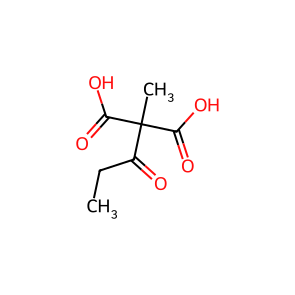 CCC(=O)C(C)(C(=O)O)C(=O)O